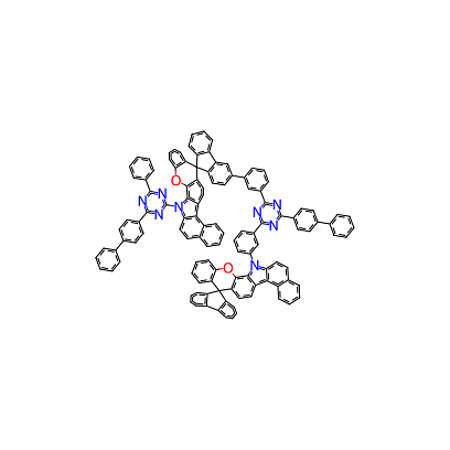 c1ccc(-c2ccc(-c3nc(-c4cccc(-c5ccc6c(c5)-c5ccccc5C65c6ccccc6Oc6c5ccc5c7c8ccccc8ccc7n(-c7nc(-c8ccccc8)nc(-c8ccc(-c9ccccc9)cc8)n7)c65)c4)nc(-c4cccc(-n5c6ccc7ccccc7c6c6ccc7c(c65)Oc5ccccc5C75c6ccccc6-c6ccccc65)c4)n3)cc2)cc1